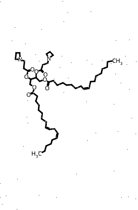 CCCCC/C=C\C/C=C\CCCCCCCC(=O)OCC(OC(=O)CCN1CCC1)C(COC(=O)CCCCCCC/C=C\CCCCCCCC)OC(=O)CCN1CCC1